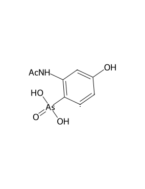 CC(=O)Nc1cc(O)c[c]c1[As](=O)(O)O